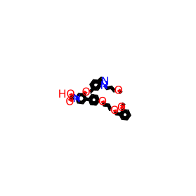 COCCCn1ncc2ccc(COC3CN(C(=O)O)CCC3c3ccc(OCCCOCc4ccccc4OC)cc3)cc21